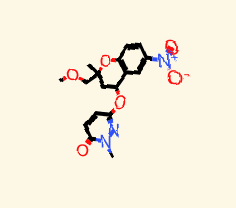 COCC1(C)CC(Oc2ccc(=O)n(C)n2)c2cc([N+](=O)[O-])ccc2O1